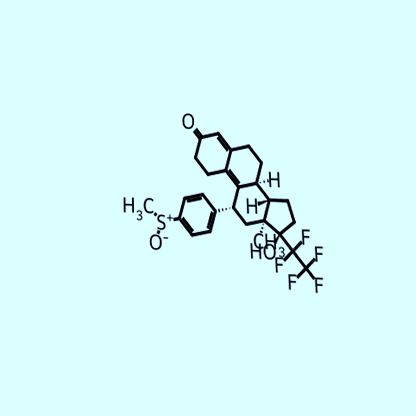 C[S+]([O-])c1ccc([C@H]2C[C@@]3(C)[C@@H](CC[C@]3(O)C(F)(F)C(F)(F)F)[C@@H]3CCC4=CC(=O)CCC4=C32)cc1